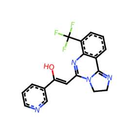 O/C(=C\C1=Nc2c(cccc2C(F)(F)F)C2=NCCN12)c1cccnc1